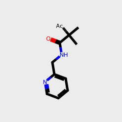 CC(=O)C(C)(C)C(=O)NCc1ccccn1